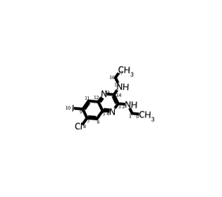 CCNc1nc2cc(Cl)c(I)cc2nc1NCC